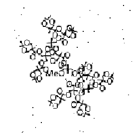 COC(=O)C(C)(COC(=O)C(C)(COC(=O)C(C)(COC(=O)C1(C)COC(C)(C)OC1)COC(=O)C1(C)COC(C)(C)OC1)COC(=O)C(C)(COC(=O)C1(C)COC(C)(C)OC1)COC(=O)C1(C)COC(C)(C)OC1)COC(=O)C(C)(COC(=O)C(C)(COC(=O)C1(C)COC(C)(C)OC1)COC(=O)C1(C)COC(C)(C)OC1)COC(=O)C(C)(COC(=O)C1(C)COC(C)(C)OC1)COC(=O)C1(C)COC(C)(C)OC1